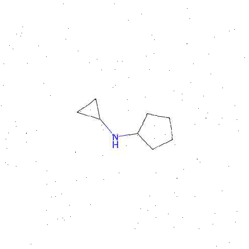 C1CCC(NC2CC2)C1